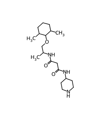 CC(COC1C(C)CCCC1C)NC(=O)CC(=O)NC1CCNCC1